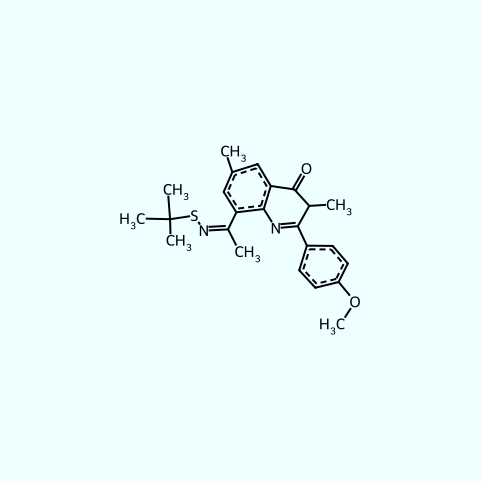 COc1ccc(C2=Nc3c(cc(C)cc3/C(C)=N\SC(C)(C)C)C(=O)C2C)cc1